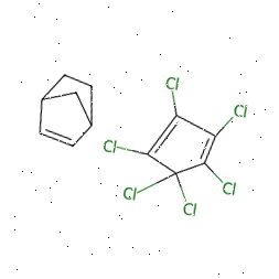 C1=CC2CCC1C2.ClC1=C(Cl)C(Cl)(Cl)C(Cl)=C1Cl